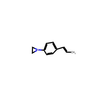 CC=Cc1ccc(N2CC2)cc1